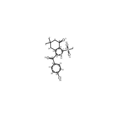 CC1(C)CC(=O)c2c(S(C)(=O)=O)sc(C(=O)c3ccc(Cl)cc3)c2C1